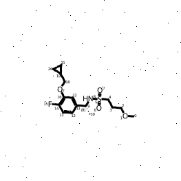 COCCCS(=O)(=O)N[C@H](C)c1ccc(F)c(OCC2CC2)c1